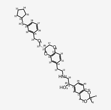 CC1(C)OCc2cc([C@@H](O)CNCCc3ccc4c(c3)O[C@H](COCc3cccc(SC5CCCC5)c3)CO4)ccc2O1